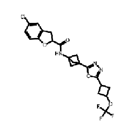 O=C(NC12CC(c3nnc(C4CC(OC(F)(F)F)C4)o3)(C1)C2)C1Cc2cc(Cl)ccc2O1